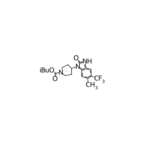 Cc1cc2c(cc1C(F)(F)F)[nH]c(=O)n2C1CCN(C(=O)OCC(C)C)CC1